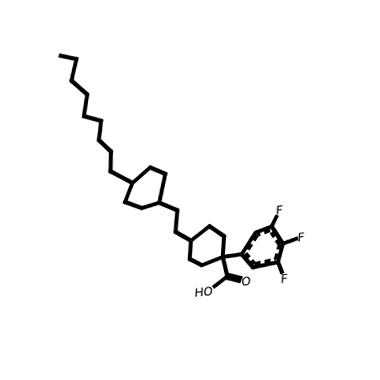 CCCCCCCCCC1CCC(CCC2CCC(C(=O)O)(c3cc(F)c(F)c(F)c3)CC2)CC1